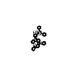 C1=C(c2ccccc2)N=C(c2cccc(-n3c4ccccc4c4c5c6c7oc8ccccc8c7ccc6n(-c6ccccc6)c5ccc43)c2)NC1c1ccccc1